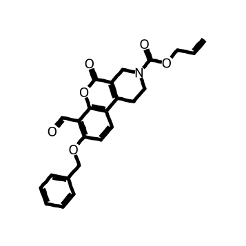 C=CCOC(=O)N1CCc2c(c(=O)oc3c(C=O)c(OCc4ccccc4)ccc23)C1